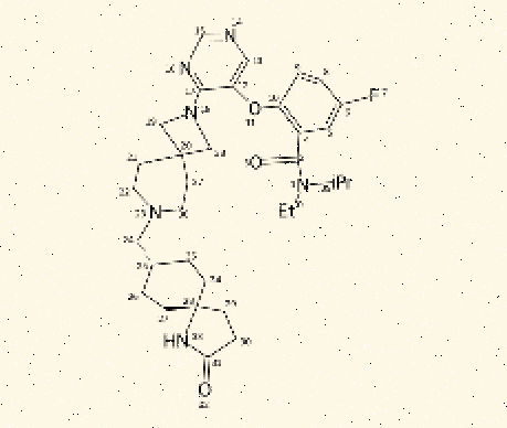 CCN(C(=O)c1cc(F)ccc1Oc1cncnc1N1CC2(CCN(C[C@H]3CC[C@]4(CCC(=O)N4)CC3)CC2)C1)C(C)C